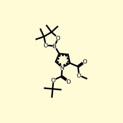 COC(=O)c1cc(B2OC(C)(C)C(C)(C)O2)cn1C(=O)OC(C)(C)C